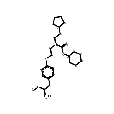 CCOC(Cc1ccc(OCCN(CCC2CCCC2)C(=O)OC2CCCCC2)cc1)C(=O)O